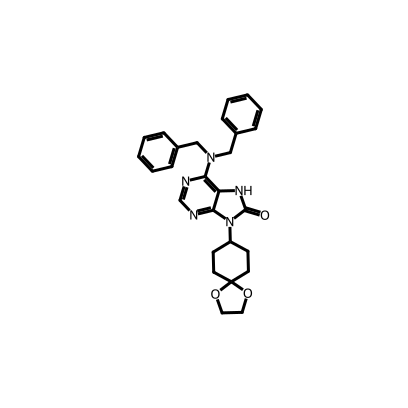 O=c1[nH]c2c(N(Cc3ccccc3)Cc3ccccc3)ncnc2n1C1CCC2(CC1)OCCO2